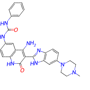 CN1CCN(c2ccc3nc(-c4c(N)c5cc(NC(=O)Nc6ccccc6)ccc5[nH]c4=O)[nH]c3c2)CC1